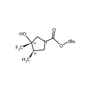 C[C@@H]1CN(C(=O)OC(C)(C)C)C[C@]1(O)C(F)(F)F